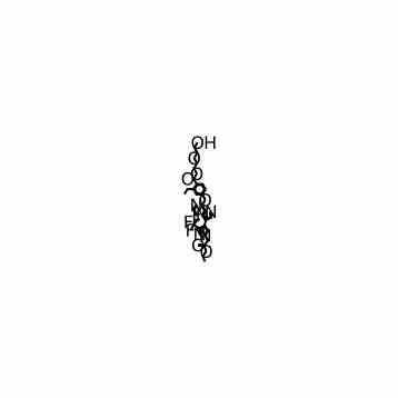 CCOC(=O)Cn1cc(-c2cnc3c(Oc4ccc(C(=O)OCCOCCO)c(CC)c4)nccn23)c(C(F)(F)F)n1